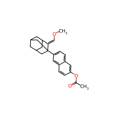 CO/C=C1\C2CC3CC(C2)CC1(c1ccc2cc(OC(C)=O)ccc2c1)C3